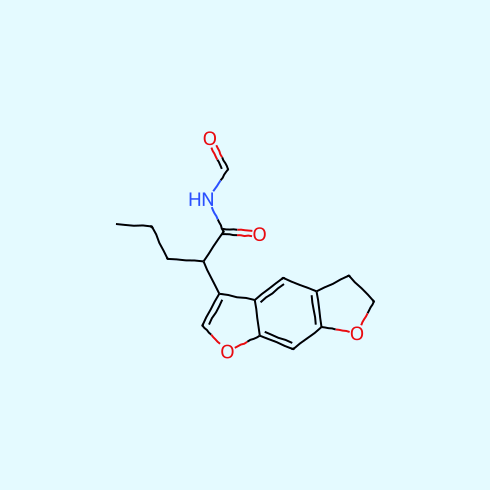 CCCC(C(=O)NC=O)c1coc2cc3c(cc12)CCO3